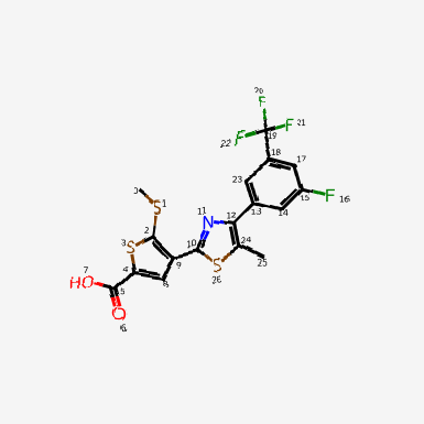 CSc1sc(C(=O)O)cc1-c1nc(-c2cc(F)cc(C(F)(F)F)c2)c(C)s1